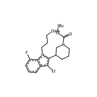 CCc1c(C2CCCN(C(=O)OC(C)(C)C)C2)n(CCCOC)c2c(F)cccc12